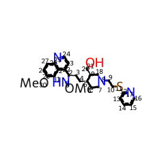 CON[C@H](CC[C@@H]1CCN(CCSc2ccccn2)C[C@@H]1CO)c1ccnc2ccc(OC)cc12